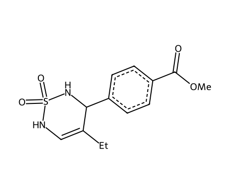 CCC1=CNS(=O)(=O)NC1c1ccc(C(=O)OC)cc1